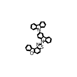 c1ccc2c(c1)oc1ccc3sc(-n4c5ccccc5c5cc(-n6c7ccccc7c7ccccc76)ccc54)nc3c12